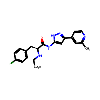 Cc1cc(-c2cc(NC(=O)[C@H](Cc3ccc(F)cc3)NCC(=O)O)[nH]n2)ccn1